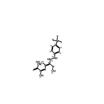 C=C(O)/C(O)=C\C(C(=O)O)=C(/CO)NNc1ccc([N+](C)(C)C)cc1